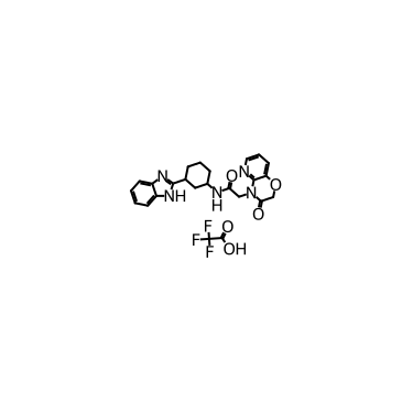 O=C(CN1C(=O)COc2cccnc21)NC1CCCC(c2nc3ccccc3[nH]2)C1.O=C(O)C(F)(F)F